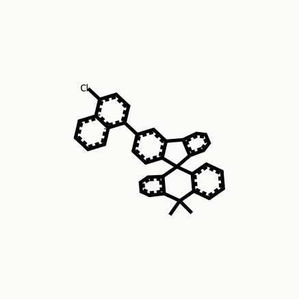 CC1(C)c2ccccc2C2(c3ccccc3-c3cc(-c4ccc(Cl)c5ccccc45)ccc32)c2ccccc21